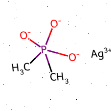 CP(C)([O-])([O-])[O-].[Ag+3]